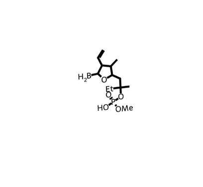 BC1OC(CC(C)(CC)OP(=O)(O)OC)C(C)C1C=C